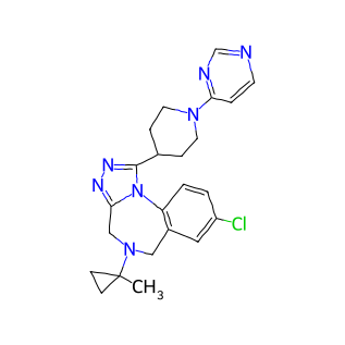 CC1(N2Cc3cc(Cl)ccc3-n3c(nnc3C3CCN(c4ccncn4)CC3)C2)CC1